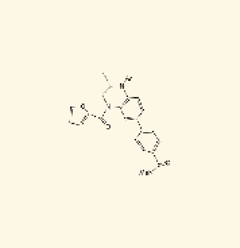 CNC(=O)c1ccc(-c2ccc3c(c2)N(C(=O)c2ccco2)C[C@H](C)N3C(C)=O)cc1